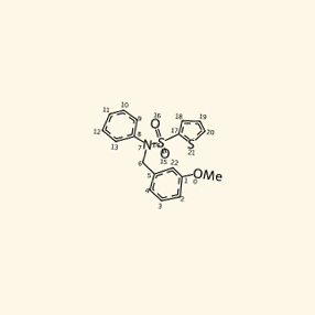 COc1cccc(CN(c2ccccc2)S(=O)(=O)c2cccs2)c1